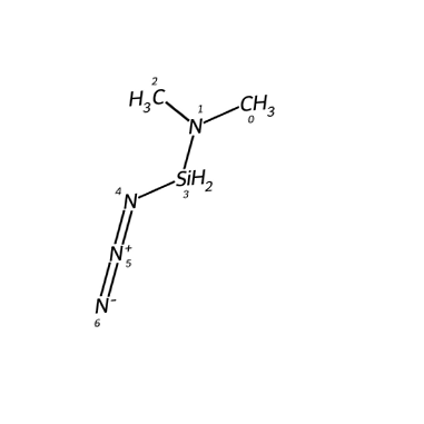 CN(C)[SiH2]N=[N+]=[N-]